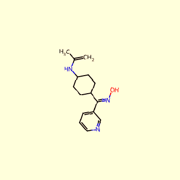 C=C(C)NC1CCC(/C(=N\O)c2cccnc2)CC1